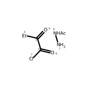 CC(=O)NN.CCC(=O)C(=O)Cl